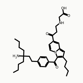 CCCCc1cc2cc(C(=O)CCNCC(=O)O)ccn2c1C(=O)c1ccc(CCC(N)(CCCC)CCCC)cc1